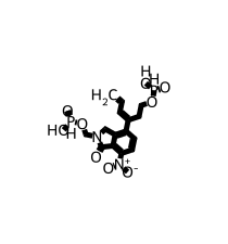 C=CC=C(CCO[PH](=O)O)c1ccc([N+](=O)[O-])c2c1CN(CO[PH](=O)O)C2=O